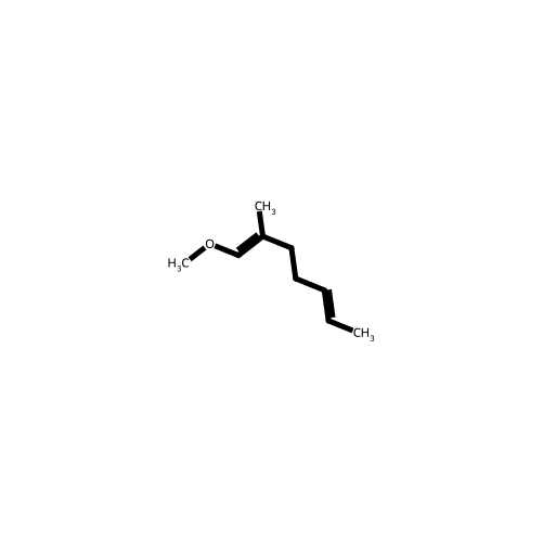 CC=CCCC(C)=COC